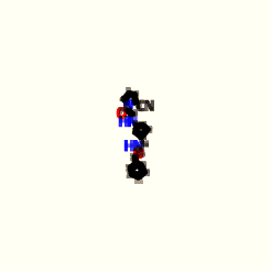 N#C[C@@H]1CCCN1C(=O)CN[C@@H]1CC[C@H](CNOCc2ccccc2)C1